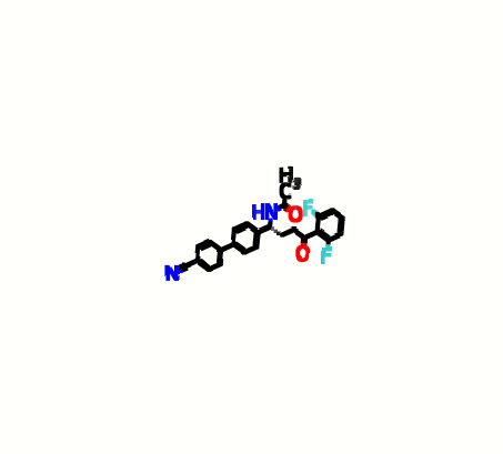 CC(=O)N[C@H](CCC(=O)c1c(F)cccc1F)c1ccc(-c2ccc(C#N)cc2)cc1